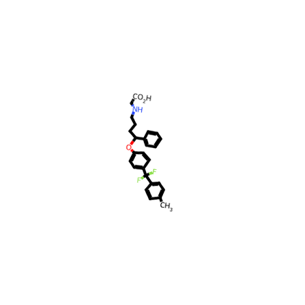 Cc1ccc(C(F)(F)c2ccc(OC(CCCNCC(=O)O)c3ccccc3)cc2)cc1